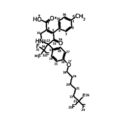 Cc1ccc(C2=C(C(=O)O)CNC(c3ccc(OCCCCCC(F)(F)F)cc3)(C(F)(F)F)C2=O)cc1